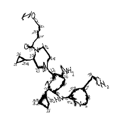 C=Cc1ccnc(Nc2cc(N)c(N3CCN(C(=O)CCCO)[C@H](C4CC4)C3)nc2C2CC2)c1